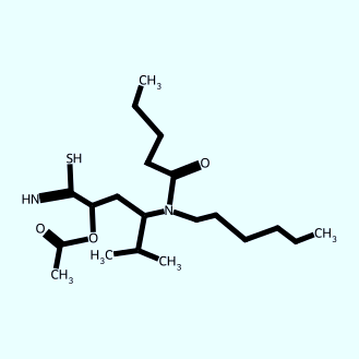 CCCCCCN(C(=O)CCCC)C(CC(OC(C)=O)C(=N)S)C(C)C